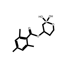 Cc1cc(C)c(C(=O)OC2CCOS(O)(O)C2)c(C)c1